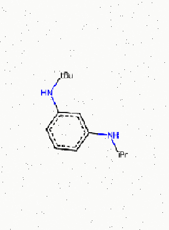 CC(C)Nc1cccc(NC(C)(C)C)c1